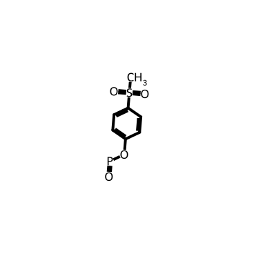 CS(=O)(=O)c1ccc(OP=O)cc1